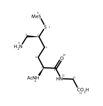 CSS[C@H](CN)CC[C@H](NC(C)=O)C(=O)NCC(=O)O